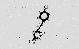 Clc1ccc(CSc2nsc(Cl)n2)cc1